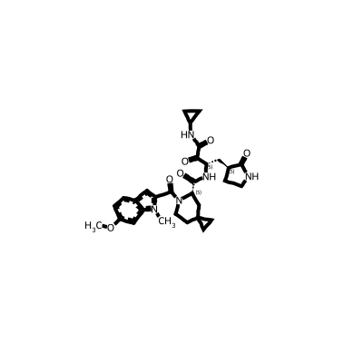 COc1ccc2cc(C(=O)N3CCC4(CC4)C[C@H]3C(=O)N[C@@H](C[C@@H]3CCNC3=O)C(=O)C(=O)NC3CC3)n(C)c2c1